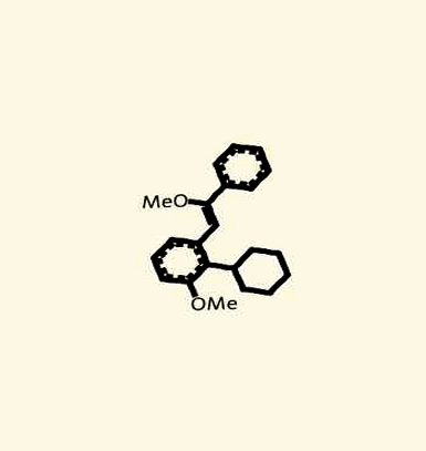 COC(=Cc1cccc(OC)c1C1CCCCC1)c1ccccc1